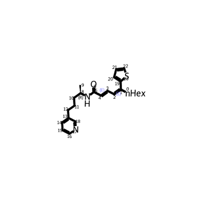 CCCCCC/C(=C/C=C/C(=O)N[C@H](C)CCCc1cccnc1)c1cccs1